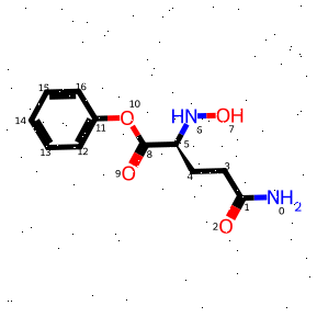 NC(=O)CC[C@H](NO)C(=O)Oc1ccccc1